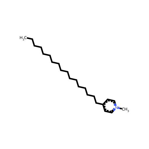 CCCCCCCCCCCCCCCCCc1cc[n+](C)cc1